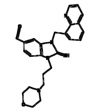 N=c1n(CCCN2CCOCC2)c2ccc(C=O)cc2n1Cc1cccc2cccnc12